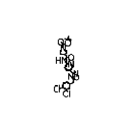 CC(C)(C)OC(=O)N1CCC(C(=O)Nc2ccc(-c3noc(Cc4ccc(Cl)c(Cl)c4)n3)cn2)C1